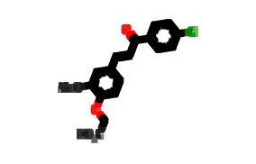 COc1cc(/C=C/C(=O)c2ccc(Cl)cc2)ccc1OCC(=O)O